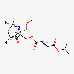 COC[C@]1(COC(=O)/C=C/C(=O)OC(C)C)C(=O)[C@H]2CCN1[C@H](C)C2